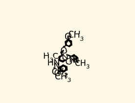 C=CN(Nc1cc(=O)n(Cc2ccn(C)n2)c(COCc2cccc(OC)c2)c1C)c1ccccc1OC